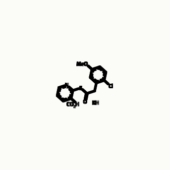 COc1ccc(Cl)c(CC(=O)Sc2ncccc2C(=O)O)c1.[KH]